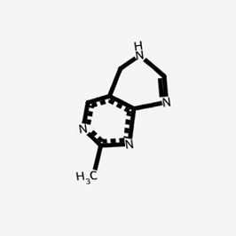 Cc1ncc2c(n1)N=CNC2